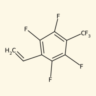 C=Cc1c(F)c(F)c(C(F)(F)F)c(F)c1F